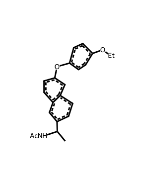 CCOc1ccc(Oc2ccc3cc(C(C)NC(C)=O)ccc3c2)cc1